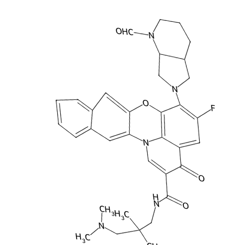 CN(C)CC(C)(C)CNC(=O)c1cn2c3c(c(N4CC5CCCN(C=O)C5C4)c(F)cc3c1=O)Oc1cc3ccccc3cc1-2